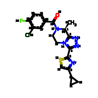 C[C@@H]1c2nnc(-c3nc(C4CC4)cs3)n2CCN1C(=O)c1ccc(F)c(Cl)c1